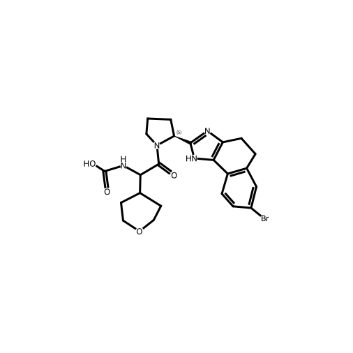 O=C(O)NC(C(=O)N1CCC[C@H]1c1nc2c([nH]1)-c1ccc(Br)cc1CC2)C1CCOCC1